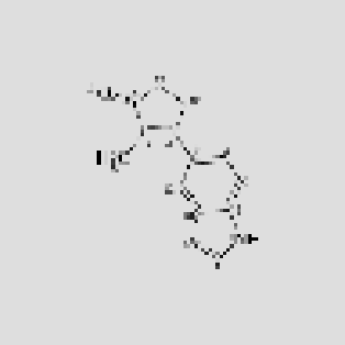 CC1=C(c2ccc3[nH]ccc3c2)CCC1=O